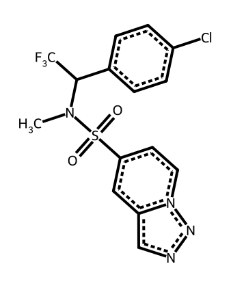 CN(C(c1ccc(Cl)cc1)C(F)(F)F)S(=O)(=O)c1ccn2nncc2c1